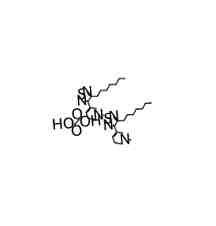 CCCCCCCc1nsnc1C1=CCCN(C)C1.CCCCCCCc1nsnc1C1=CCCN(C)C1.O=C(O)C(=O)O